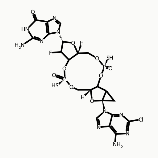 Nc1nc2c(ncn2[C@@H]2O[C@@H]3CO[P@@](=O)(S)OC4C5C[C@]5(n5cnc6c(N)nc(Cl)nc65)O[C@@H]4CO[P@@](=O)(S)OC3C2F)c(=O)[nH]1